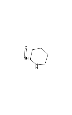 C1CCNCC1.N=O